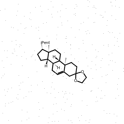 CCCC(C)[C@H]1CC[C@H]2[C@@H]3CC=C4CC5(CC[C@]4(C)[C@H]3CC[C@]12C)OCCO5